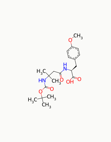 COc1ccc(C[C@H](NC(=O)CC(C)(C)NC(=O)OC(C)(C)C)C(=O)O)cc1